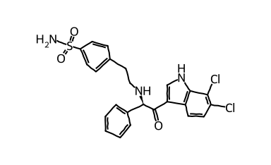 NS(=O)(=O)c1ccc(CCN[C@@H](C(=O)c2c[nH]c3c(Cl)c(Cl)ccc23)c2ccccc2)cc1